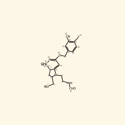 CN1CC(CC(C)(C)C)N(CCNC=O)/C1=C/C(=N\C=O)OCc1ccc(F)c(C#N)c1